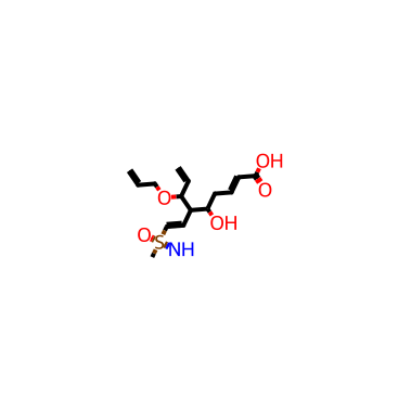 C=CCOC(C=C)C(/C=C/S(C)(=N)=O)C(O)C/C=C/C(=O)O